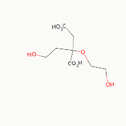 O=C(O)CC(CCO)(OCCO)C(=O)O